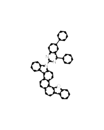 c1ccc(-c2ccc3nc(-n4c5ccccc5c5c6ccc7ccc8c9ccccc9oc8c7c6ccc54)nc(-c4ccccc4)c3c2)cc1